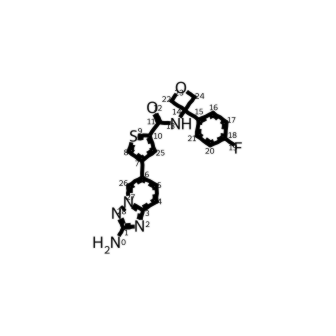 Nc1nc2ccc(-c3csc(C(=O)NC4(c5ccc(F)cc5)COC4)c3)cn2n1